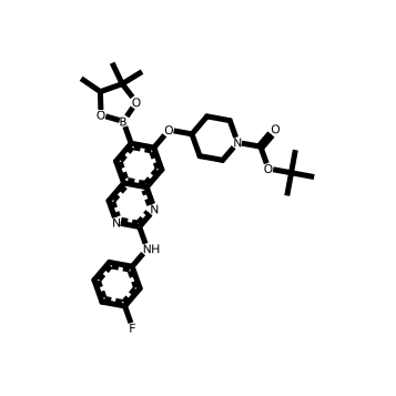 CC1OB(c2cc3cnc(Nc4cccc(F)c4)nc3cc2OC2CCN(C(=O)OC(C)(C)C)CC2)OC1(C)C